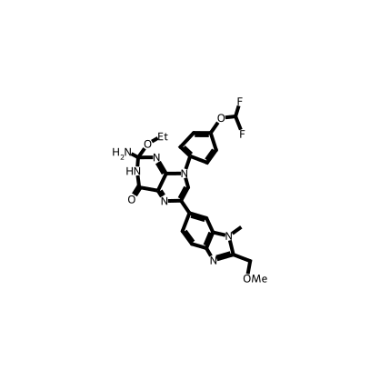 CCOC1(N)N=C2C(=NC(c3ccc4nc(COC)n(C)c4c3)=CN2c2ccc(OC(F)F)cc2)C(=O)N1